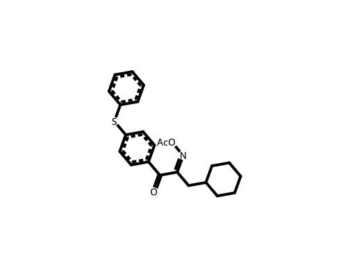 CC(=O)ON=C(CC1CCCCC1)C(=O)c1ccc(Sc2ccccc2)cc1